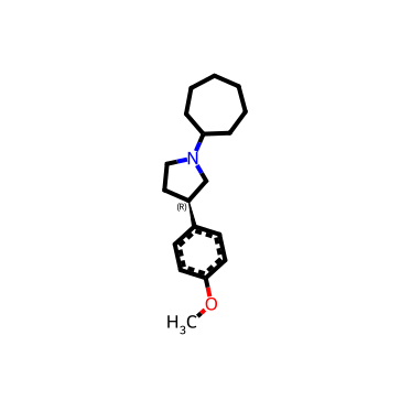 COc1ccc([C@H]2CCN(C3CCCCCC3)C2)cc1